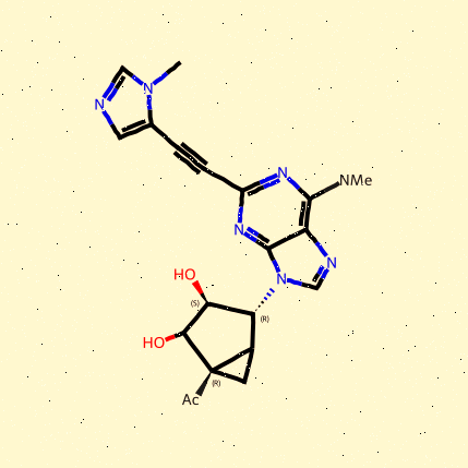 CNc1nc(C#Cc2cncn2C)nc2c1ncn2[C@@H]1C2C[C@]2(C(C)=O)C(O)[C@H]1O